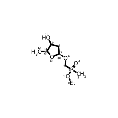 CCOP(C)(=O)CO[C@@H]1CC(O)[C@H](C)O1